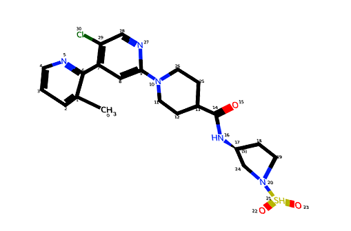 Cc1cccnc1-c1cc(N2CCC(C(=O)N[C@H]3CCN([SH](=O)=O)C3)CC2)ncc1Cl